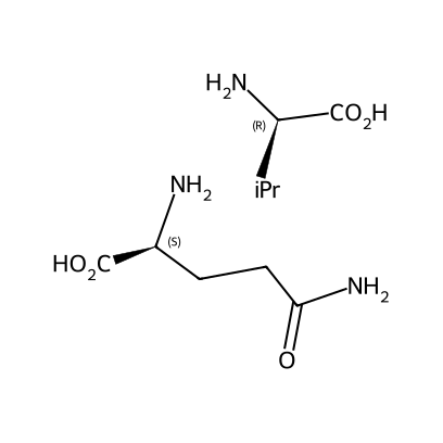 CC(C)[C@@H](N)C(=O)O.NC(=O)CC[C@H](N)C(=O)O